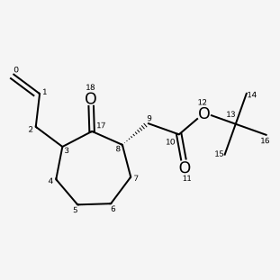 C=CCC1CCCC[C@@H](CC(=O)OC(C)(C)C)C1=O